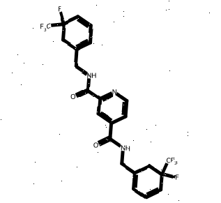 O=C(NCC1=CC=CC(F)(C(F)(F)F)C1)c1ccnc(C(=O)NCC2=CC=CC(F)(C(F)(F)F)C2)c1